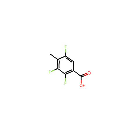 Cc1c(F)cc(C(=O)O)c(F)c1F